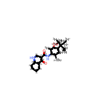 [2H]c1c(O)c(C(C([2H])([2H])[2H])(C([2H])([2H])[2H])C([2H])([2H])[2H])cc(C(C)(C)C)c1NC(=O)c1c[nH]c2ccccc2c1=O